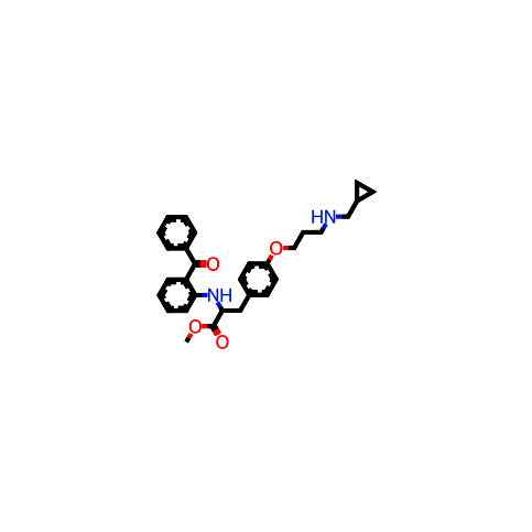 COC(=O)C(Cc1ccc(OCCCNCC2CC2)cc1)Nc1ccccc1C(=O)c1ccccc1